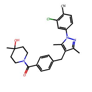 Cc1nn(-c2ccc(C#N)c(Cl)c2)c(C)c1Cc1ccc(C(=O)N2CCC(C)(O)CC2)cc1